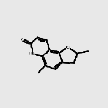 Cc1cc2c(c3ccc(=O)[nH]c13)OC(C)C2